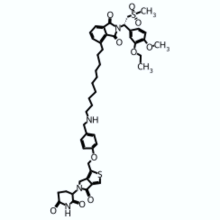 CCOc1cc([C@@H](CS(C)(=O)=O)N2C(=O)c3cccc(CCCCCCCCCCNCc4ccc(OCc5scc6c5CN(C5CCC(=O)NC5=O)C6=O)cc4)c3C2=O)ccc1OC